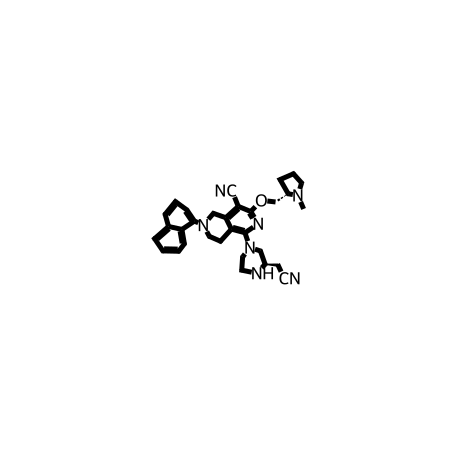 CN1CCC[C@H]1COc1nc(N2CCN[C@H](CC#N)C2)c2c(c1C#N)CN(c1cccc3ccccc13)CC2